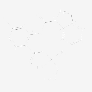 O=C(OC(CS(=O)(=O)O)(C(F)(F)F)C(F)(F)F)c1ccc(I)cc1OC(=O)C1C=Cc2ccccc21